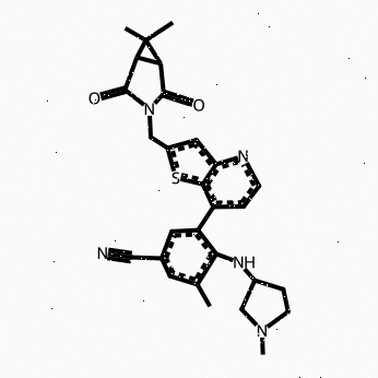 Cc1cc(C#N)cc(-c2ccnc3cc(CN4C(=O)C5C(C4=O)C5(C)C)sc23)c1NC1CCN(C)C1